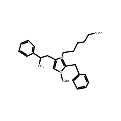 CCCCCCCCCCCCCCC[n+]1c(CC(C)c2ccccc2)cn(CCCCCCCC)c1Cc1ccccc1